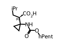 CCCCCOC(=O)NC1([C@@H](CC(C)C)C(=O)O)CC1